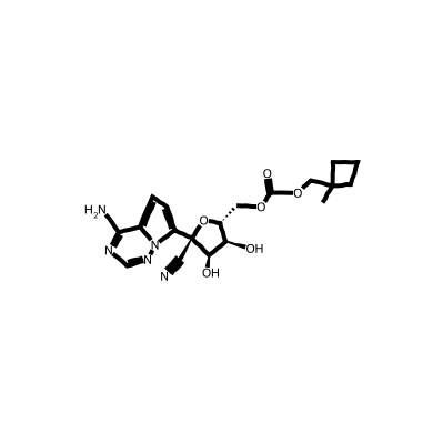 CC1(COC(=O)OC[C@H]2O[C@@](C#N)(c3ccc4c(N)ncnn34)[C@H](O)[C@@H]2O)CCC1